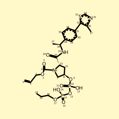 C=CCOC(=O)N1C[C@H](OP(=O)(O)OP(=O)(O)OCCC)C[C@H]1C(=O)N[C@@H](C)c1ccc(-c2scnc2C)cc1